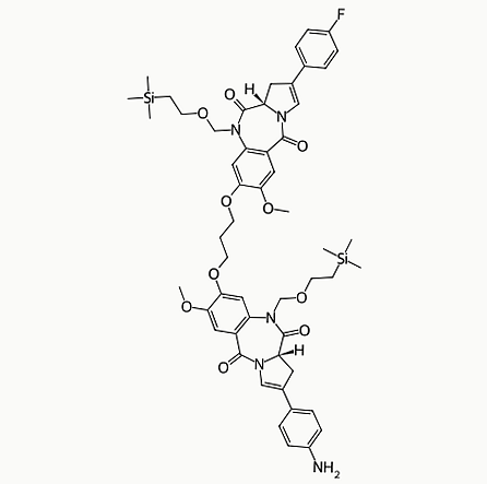 COc1cc2c(cc1OCCCOc1cc3c(cc1OC)C(=O)N1C=C(c4ccc(F)cc4)C[C@H]1C(=O)N3COCC[Si](C)(C)C)N(COCC[Si](C)(C)C)C(=O)[C@@H]1CC(c3ccc(N)cc3)=CN1C2=O